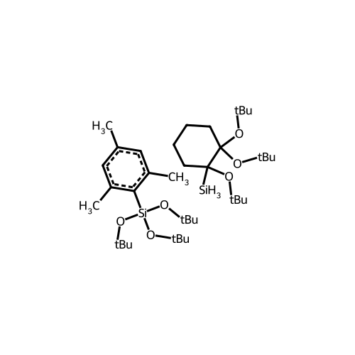 CC(C)(C)OC1([SiH3])CCCCC1(OC(C)(C)C)OC(C)(C)C.Cc1cc(C)c([Si](OC(C)(C)C)(OC(C)(C)C)OC(C)(C)C)c(C)c1